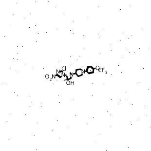 CN(C[C@](C)(O)Cn1cc([N+](=O)[O-])nc1Cl)C1CCN(c2ccc(OC(F)(F)F)cc2)CC1